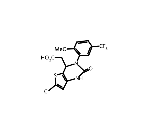 COc1ccc(C(F)(F)F)cc1N1C(=O)Nc2cc(Cl)sc2C1CC(=O)O